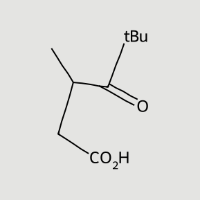 CC(CC(=O)O)C(=O)C(C)(C)C